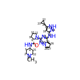 CN1CCC(NC(=O)[C@@H]2CCCN2c2nc(Nc3cc(C4CC4)[nH]n3)c3cccn3n2)CC1